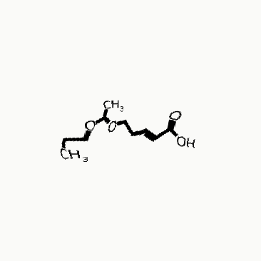 CCCOC(C)OCCC=CC(=O)O